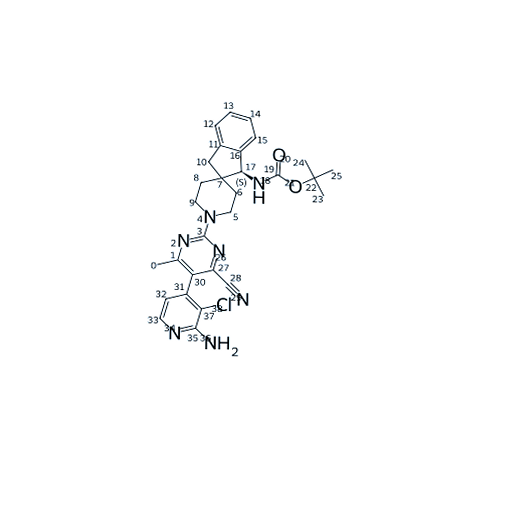 Cc1nc(N2CCC3(CC2)Cc2ccccc2[C@H]3NC(=O)OC(C)(C)C)nc(C#N)c1-c1ccnc(N)c1Cl